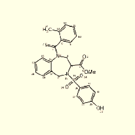 COC(=O)C1CN(C(=S)c2ccccc2C)c2ccccc2CN1S(=O)(=O)c1ccc(O)cc1